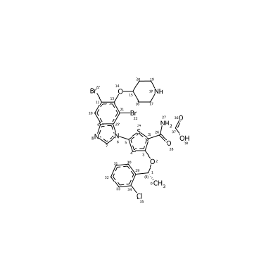 C[C@@H](Oc1cc(-n2cnc3cc(Br)c(OC4CCNCC4)c(Br)c32)sc1C(N)=O)c1ccccc1Cl.O=CO